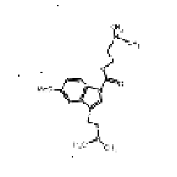 COc1ccc2c(c1)c(CCN(C)C)cn2C(=O)OCCN(C)C